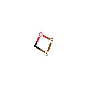 C1OSS1